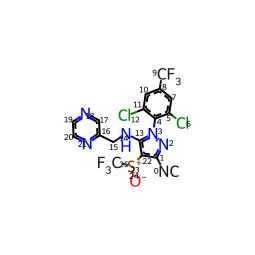 [C-]#[N+]c1nn(-c2c(Cl)cc(C(F)(F)F)cc2Cl)c(NCc2cnccn2)c1[S+]([O-])C(F)(F)F